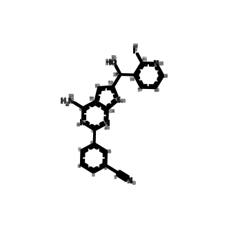 N#Cc1cccc(-c2nc(N)c3cc(C(O)c4cccnc4F)sc3n2)c1